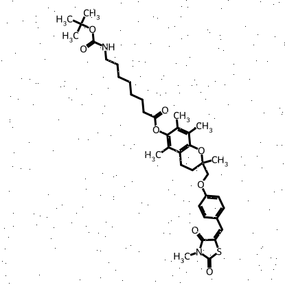 Cc1c(C)c2c(c(C)c1OC(=O)CCCCCCCNC(=O)OC(C)(C)C)CCC(C)(COc1ccc(C=C3SC(=O)N(C)C3=O)cc1)O2